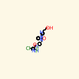 O=C(N[C@H]1CC[C@H](Cn2c(=O)n(-c3ccc(CCCO)nc3)c3ccccc32)CC1)c1cc(Cl)cnc1C(F)F